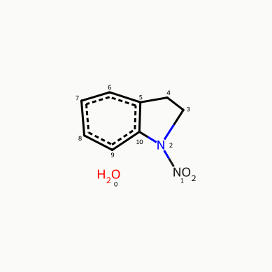 O.O=[N+]([O-])N1CCc2ccccc21